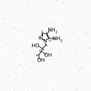 Nc1cnn(CC(O)C(O)CO)c1N